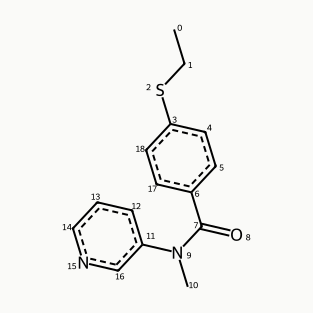 CCSc1ccc(C(=O)N(C)c2cccnc2)cc1